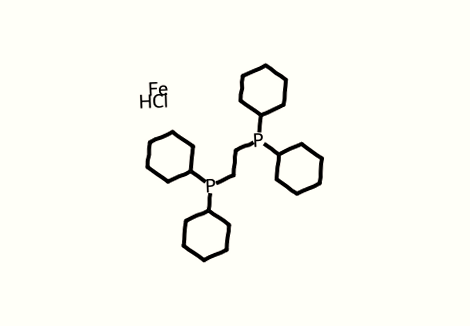 C1CCC(P(CCP(C2CCCCC2)C2CCCCC2)C2CCCCC2)CC1.Cl.[Fe]